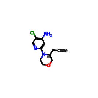 COC[C@H]1COCCN1c1cc(N)c(Cl)cn1